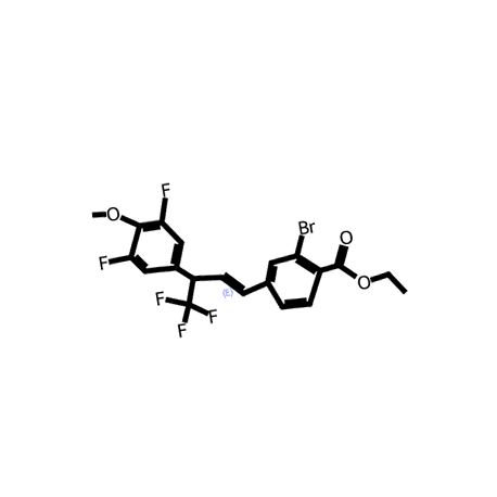 CCOC(=O)c1ccc(/C=C/C(c2cc(F)c(OC)c(F)c2)C(F)(F)F)cc1Br